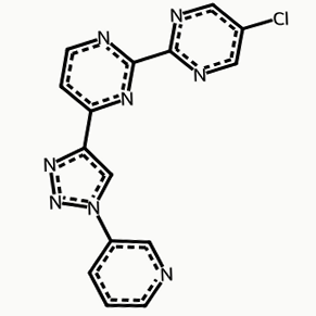 Clc1cnc(-c2nccc(-c3cn(-c4cccnc4)nn3)n2)nc1